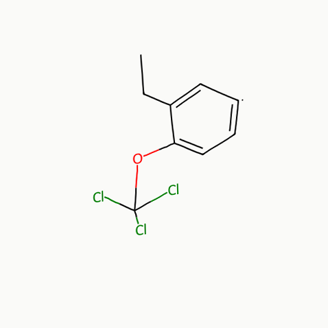 CCc1c[c]ccc1OC(Cl)(Cl)Cl